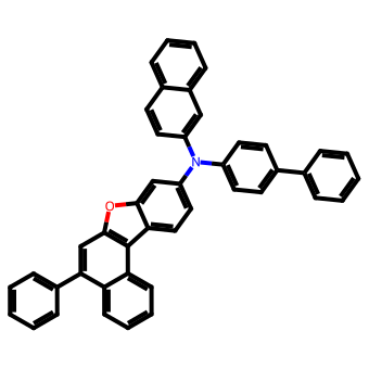 c1ccc(-c2ccc(N(c3ccc4ccccc4c3)c3ccc4c(c3)oc3cc(-c5ccccc5)c5ccccc5c34)cc2)cc1